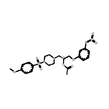 COc1ccc(S(=O)(=O)N2CCN(C[C@@H](COc3cccc(N=S(=O)=O)c3)OC(C)=O)CC2)cc1